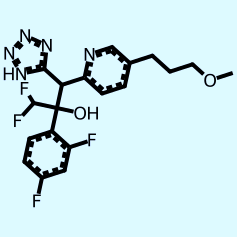 COCCCc1ccc(C(c2nnn[nH]2)C(O)(c2ccc(F)cc2F)C(F)F)nc1